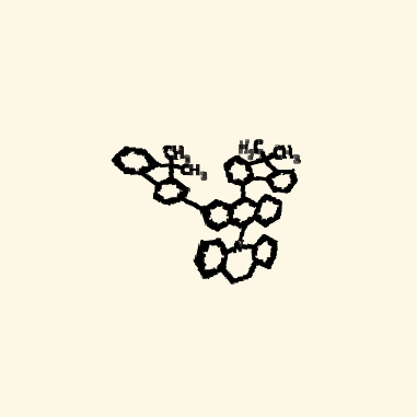 CC1(C)c2ccccc2-c2ccc(-c3ccc4c(N5c6ccccc6CCc6ccccc65)c5ccccc5c(-c5cccc6c5-c5ccccc5C6(C)C)c4c3)cc21